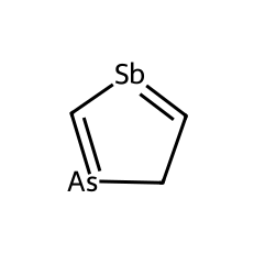 [CH]1=[As]C[CH]=[Sb]1